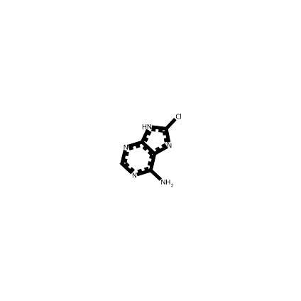 Nc1n[c]nc2[nH]c(Cl)nc12